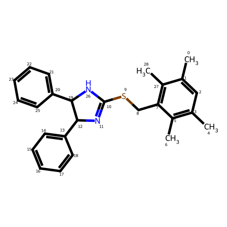 Cc1cc(C)c(C)c(CSC2=NC(c3ccccc3)C(c3ccccc3)N2)c1C